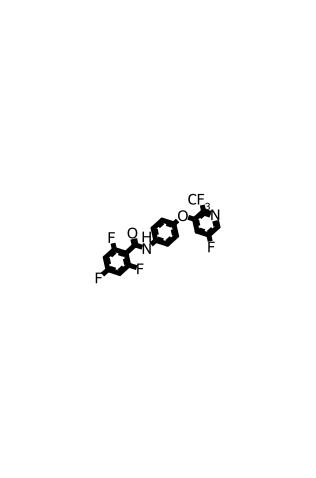 O=C(Nc1ccc(Oc2cc(F)cnc2C(F)(F)F)cc1)c1c(F)cc(F)cc1F